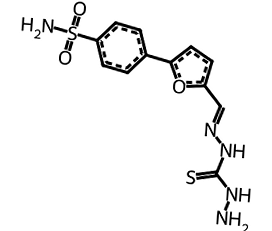 NNC(=S)NN=Cc1ccc(-c2ccc(S(N)(=O)=O)cc2)o1